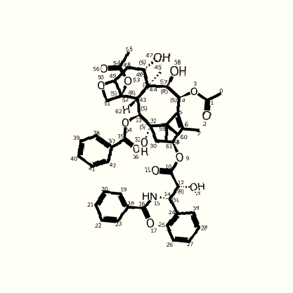 CC(=O)O[C@H]1C2=C(C)[C@@H](OC(=O)[C@H](O)[C@@H](NC(=O)c3ccccc3)c3ccccc3)C[C@@](O)([C@@H](OC(=O)c3ccccc3)[C@H]3[C@@](C)([C@@H](O)CC4OC[C@]43OC(C)=O)[C@H]1O)C2(C)C